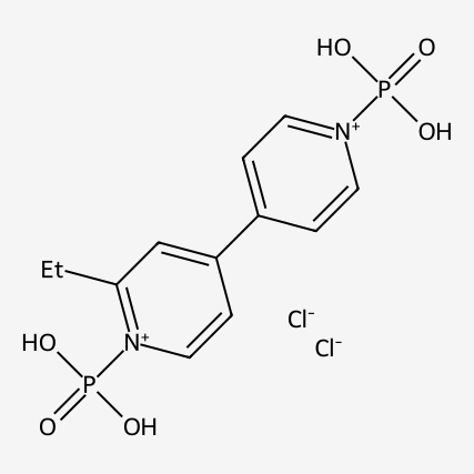 CCc1cc(-c2cc[n+](P(=O)(O)O)cc2)cc[n+]1P(=O)(O)O.[Cl-].[Cl-]